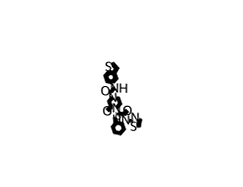 O=C(Nc1nccs1)[C@H](CC1CCCCC1)N1CCN(C(=O)Nc2ccc3sccc3c2)CC1=O